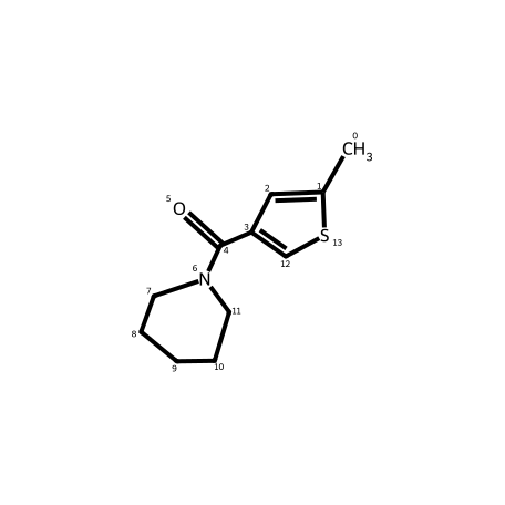 Cc1cc(C(=O)N2CCCCC2)cs1